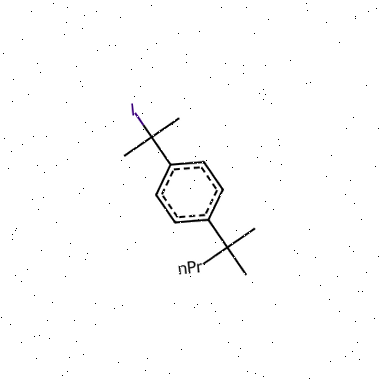 CCCC(C)(C)c1ccc(C(C)(C)I)cc1